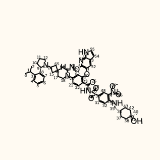 CC(C)c1ccccc1[C@H]1CCCN1C1CC2(CCN(c3ccc(C(=O)NS(=O)(=O)c4ccc(NC[C@H]5CC[C@](C)(O)CC5)c([N+](=O)[O-])c4)c(Oc4cc5cc[nH]c5nc4ON)c3)CC2)C1